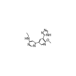 CCNc1cc(-c2cnc(OC)c(-c3nnc[nH]3)c2)ncn1